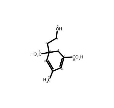 CC1=CC(CCO)(C(=O)O)CC(C(=O)O)=C1